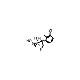 N[C@](CF)(c1cccc(Cl)c1F)[C@H]1C[C@H]1O